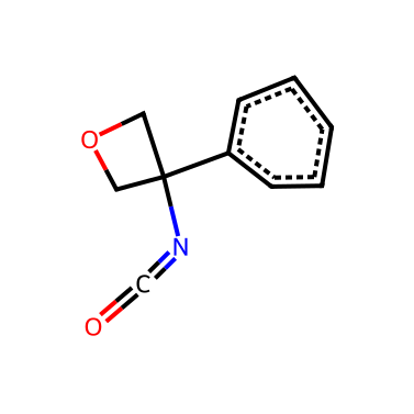 O=C=NC1(c2ccccc2)COC1